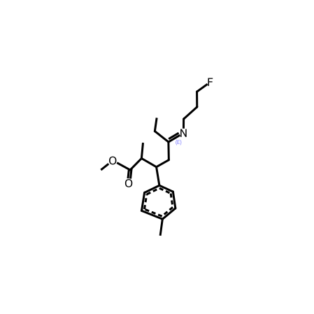 CC/C(CC(c1ccc(C)cc1)C(C)C(=O)OC)=N\CCCF